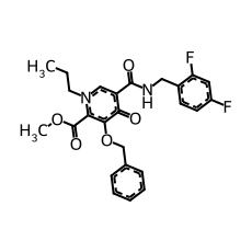 CCCn1cc(C(=O)NCc2ccc(F)cc2F)c(=O)c(OCc2ccccc2)c1C(=O)OC